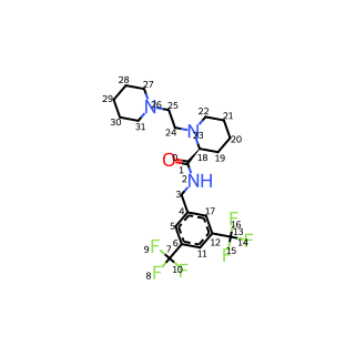 O=C(NCc1cc(C(F)(F)F)cc(C(F)(F)F)c1)[C@@H]1CCCCN1CCN1CCCCC1